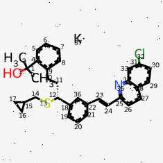 CC(C)(O)c1ccccc1CC[C@@H](SCC1CC1)c1cccc(C=Cc2ccc3ccc(Cl)cc3n2)c1.[K]